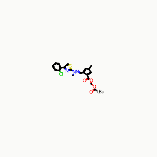 CC1C=C(/C=N/N(C)c2nc(-c3ccccc3Cl)cs2)C(C(=O)OCOC(=O)C(C)(C)C)=C1